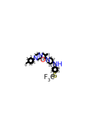 Cc1ccc(N2CCN(CC(C)C(=O)N3CCC(Nc4ccc(SC(F)(F)F)cc4)CC3)CC2)cc1